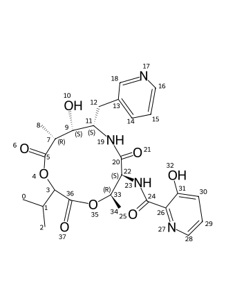 CC(C)C1OC(=O)[C@H](C)[C@H](O)[C@H](Cc2cccnc2)NC(=O)[C@@H](NC(=O)c2ncccc2O)[C@@H](C)OC1=O